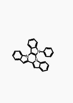 c1ccc(-n2c3ccccc3c3c2n2c4ccccc4cc2c2cc4ccccc4n23)cc1